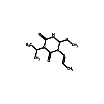 CC=NN1C(=O)N(C(C)C)C(=O)NC1SC